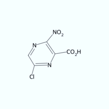 O=C(O)c1nc(Cl)cnc1[N+](=O)[O-]